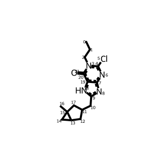 CCCn1c(Cl)nc2nc(CC3CC4CC4(C)C3)[nH]c2c1=O